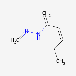 C=NNC(=C)/C=C\CC